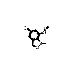 CCCOc1cc(Cl)cc2c1B(C)OC2